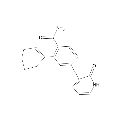 NC(=O)c1ccc(-c2ccc[nH]c2=O)cc1C1=CCCCC1